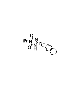 CC(C)n1c(=O)nc(NCc2ccc3c(c2)CCCC3)[nH]c1=O